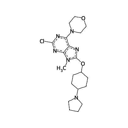 Cn1c(OC2CCC(N3CCCC3)CC2)nc2c(N3CCOCC3)nc(Cl)nc21